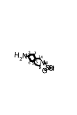 Nc1ccc2c(c1)CCN(C[SH](=O)=O)C2